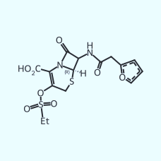 CCS(=O)(=O)OC1=C(C(=O)O)N2C(=O)C(NC(=O)Cc3ccco3)[C@H]2SC1